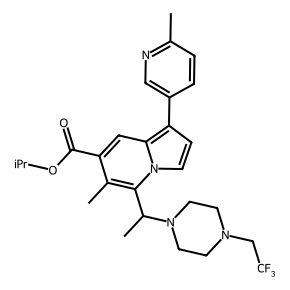 Cc1ccc(-c2ccn3c(C(C)N4CCN(CC(F)(F)F)CC4)c(C)c(C(=O)OC(C)C)cc23)cn1